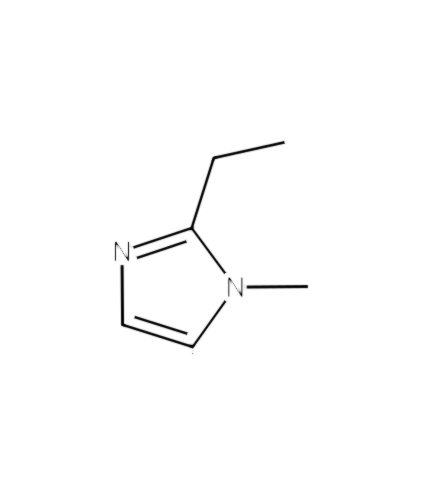 CCc1nc[c]n1C